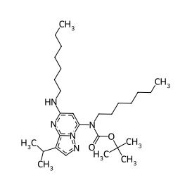 CCCCCCCNc1cc(N(CCCCCCC)C(=O)OC(C)(C)C)n2ncc(C(C)C)c2n1